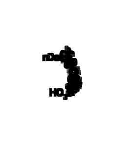 C=C(C)C(=O)OC(CCCCCCCCCCC)OC(=O)c1ccc(OS(=O)(=O)C(F)(F)C(F)(F)C(F)(F)S(=O)(=O)O)cc1